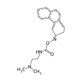 CN(C)CCNC(=O)ON=C1C=c2c(ccc3ccccc23)=CC1